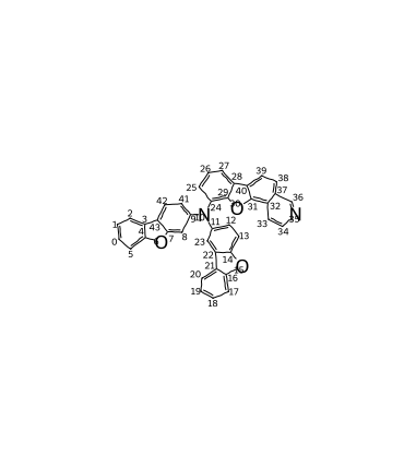 c1ccc2c(c1)oc1cc(N(c3ccc4oc5ccccc5c4c3)c3cccc4c3oc3c5ccncc5ccc43)ccc12